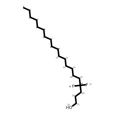 CCCCCCCCCCCCCCCCC(F)(F)CCCO